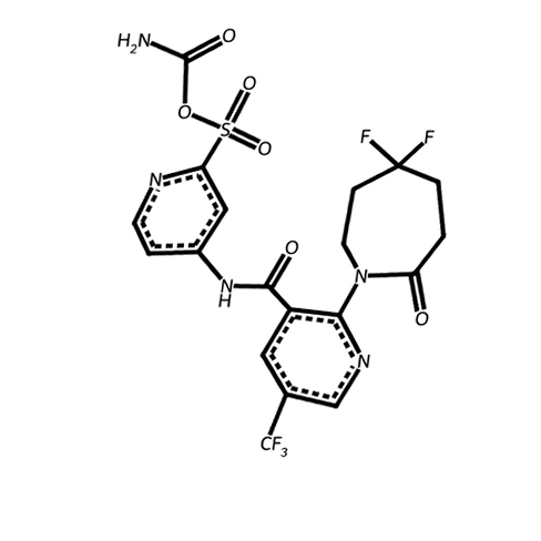 NC(=O)OS(=O)(=O)c1cc(NC(=O)c2cc(C(F)(F)F)cnc2N2CCC(F)(F)CCC2=O)ccn1